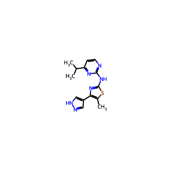 Cc1sc(Nc2nccc(C(C)C)n2)nc1-c1cn[nH]c1